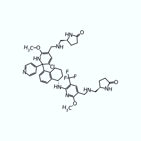 COC1=C(CNC[C@@H]2CCC(=O)N2)C=C(Cl)C(c2ccncc2)(c2cccc3c2CCC[C@@H]3Nc2nc(OC)c(CNC[C@H]3CCC(=O)N3)cc2C(F)(F)F)N1